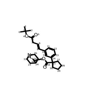 CC(C)(C)OC(=O)C/C=C/c1cccc(C2(C(=O)OC3CN4CCC3CC4)CCCC2)c1